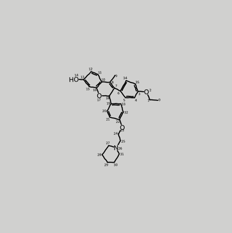 CCOc1ccc(C2=C(C)c3ccc(O)cc3OC2c2ccc(OCCN3CCCCC3)cc2)cc1